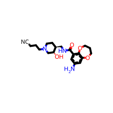 N#CCCCN1CC[C@@H](CNC(=O)c2cc(N)cc3c2OCCCO3)[C@H](O)C1